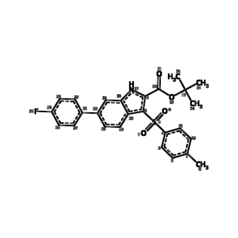 Cc1ccc(S(=O)(=O)c2c(C(=O)OC(C)(C)C)[nH]c3cc(-c4ccc(F)cc4)ccc23)cc1